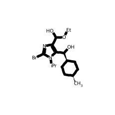 CCOC(O)c1nc(Br)n(C(C)C)c1C(O)[C@H]1CC[C@H](C)CC1